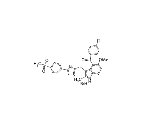 Br.COc1ccc2[nH]c(C)c(Cc3nc(-c4ccc(S(C)(=O)=O)cc4)cs3)c2c1C(=O)c1ccc(Cl)cc1